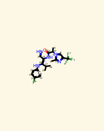 Cc1nc(C(F)(F)F)cn1C(C)C(=O)N/C(C=N)=C(/Nc1ccc(F)cc1)C(C)C